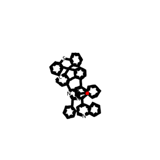 c1ccc(-c2nc(-c3ccccc3)nc(-c3cccc4c3-c3c(-c5ccc(-c6ccnc7ccccc67)cc5)cccc3C43c4ccccc4Sc4ccccc43)n2)cc1